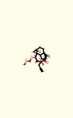 C#CC[C@]1(C)C[C@@H](OCOC)[C@]23C[C@@H]2CCC2(CC[C@@H](OC)C23)[C@@H](C)C1=O